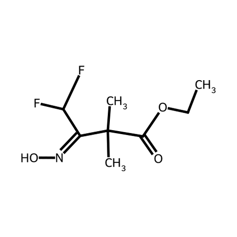 CCOC(=O)C(C)(C)C(=NO)C(F)F